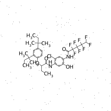 CCC(Oc1ccc(C(C)(C)CC)cc1C(C)(C)CC)C(=O)Nc1cc(O)c(NC(=O)C(F)(F)C(F)(F)C(F)(F)C(F)F)cc1Cl